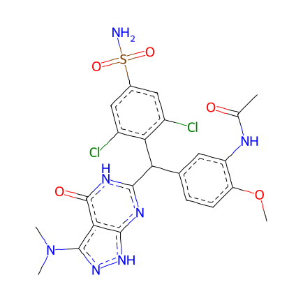 COc1ccc(C(c2nc3[nH]nc(N(C)C)c3c(=O)[nH]2)c2c(Cl)cc(S(N)(=O)=O)cc2Cl)cc1NC(C)=O